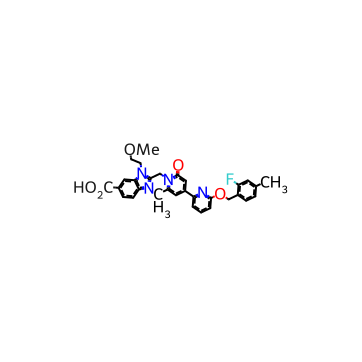 COCCn1c(Cn2c(C)cc(-c3cccc(OCc4ccc(C)cc4F)n3)cc2=O)nc2ccc(C(=O)O)cc21